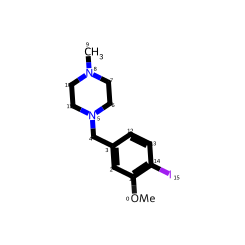 COc1cc(CN2CCN(C)CC2)ccc1I